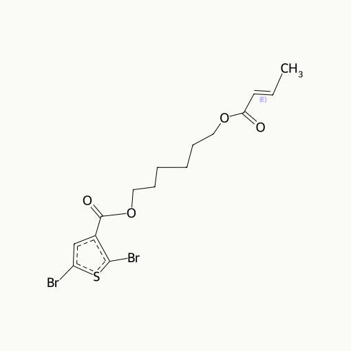 C/C=C/C(=O)OCCCCCCOC(=O)c1cc(Br)sc1Br